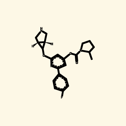 CC1CCCN1C(=O)Oc1cc(OC2[C@H]3CNC[C@@H]23)nc(-c2ccc(F)cc2)c1